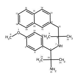 COc1ccc(C(NC(C)(C)Cc2ccc3ccccc3c2)C(C)(C)N)cc1